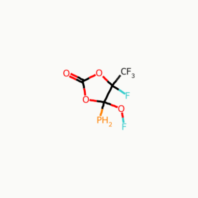 O=C1OC(P)(OF)C(F)(C(F)(F)F)O1